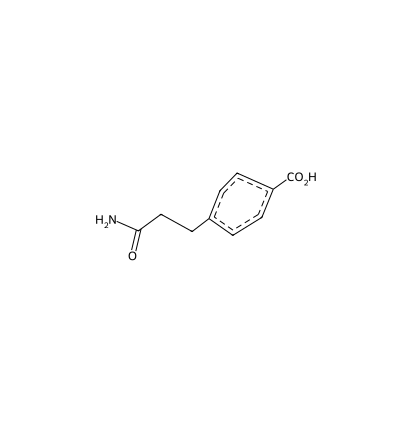 NC(=O)CCc1ccc(C(=O)O)cc1